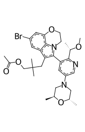 CO[C@@H](C)c1ncc(N2C[C@H](C)O[C@@H](C)C2)cc1-c1c(CC(C)(C)COC(C)=O)c2cc(Br)cc3c2n1CCO3